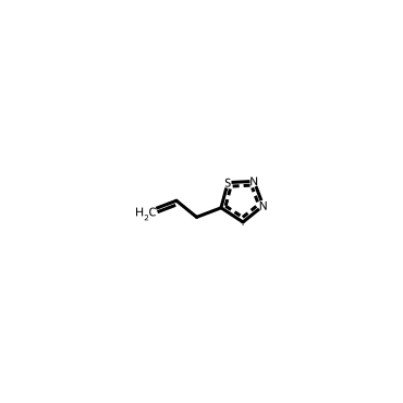 C=CCc1[c]nns1